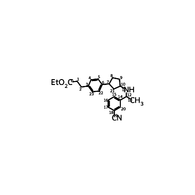 CCOC(=O)CCc1ccc(C2CCC(NC(C)c3cccc(C#N)c3)C2)cc1